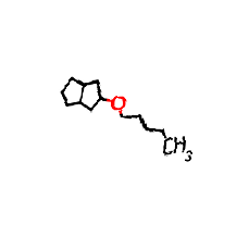 CCCCCOC1CC2CCCC2C1